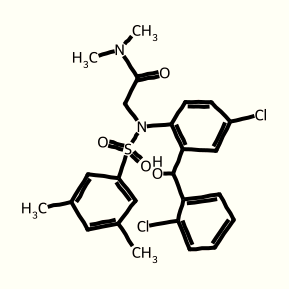 Cc1cc(C)cc(S(=O)(=O)N(CC(=O)N(C)C)c2ccc(Cl)cc2C(O)c2ccccc2Cl)c1